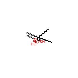 CCCCCCCCc1c(O)c(OC(=O)O)c(OCCCCCC)c(CCCCCCCC)c1CCCCCCCC